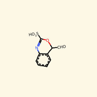 O=CC1OC(S(=O)(=O)O)=Nc2ccccc21